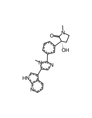 CN1CC[C@@](O)(c2cccc(-c3ncc(-c4c[nH]c5ncccc45)n3C)c2)C1=O